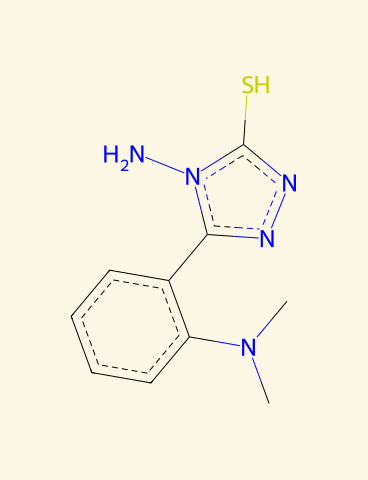 CN(C)c1ccccc1-c1nnc(S)n1N